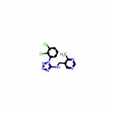 Cc1ncncc1CNc1nnnn1-c1cccc(Cl)c1Cl